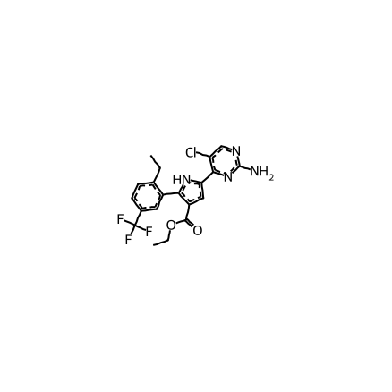 CCOC(=O)c1cc(-c2nc(N)ncc2Cl)[nH]c1-c1cc(C(F)(F)F)ccc1CC